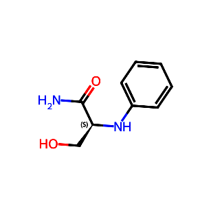 NC(=O)[C@H](CO)Nc1ccccc1